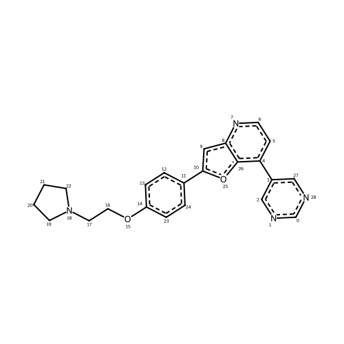 c1ncc(-c2ccnc3cc(-c4ccc(OCCN5CCCC5)cc4)oc23)cn1